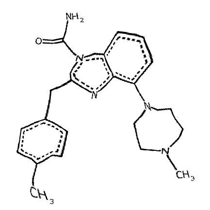 Cc1ccc(Cc2nc3c(N4CCN(C)CC4)cccc3n2C(N)=O)cc1